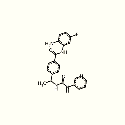 CC(NC(=O)Nc1cccnc1)c1ccc(C(=O)Nc2cc(F)ccc2N)cc1